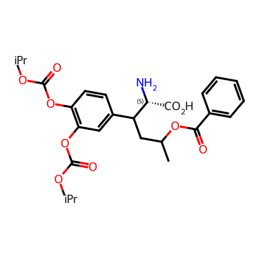 CC(C)OC(=O)Oc1ccc(C(CC(C)OC(=O)c2ccccc2)[C@H](N)C(=O)O)cc1OC(=O)OC(C)C